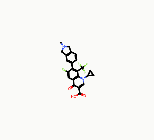 CN1Cc2ccc(-c3c(F)cc4c(=O)c(C(=O)O)cn(C5CC5)c4c3C(F)(F)F)cc2C1